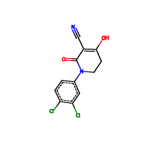 N#CC1=C(O)CCN(c2ccc(Cl)c(Cl)c2)C1=O